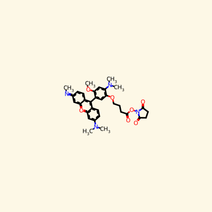 C/N=c1\ccc2c(-c3cc(OCCCC(=O)ON4C(=O)CCC4=O)c(N(C)C)cc3OC)c3ccc(N(C)C)cc3oc-2c1